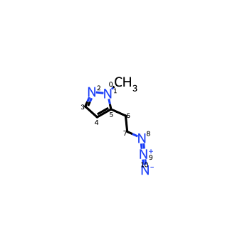 Cn1nccc1CCN=[N+]=[N-]